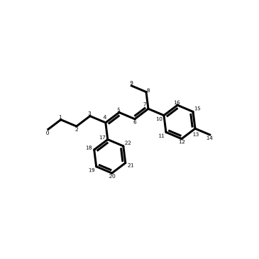 CCCCC(=CC=C(CC)c1ccc(C)cc1)c1ccccc1